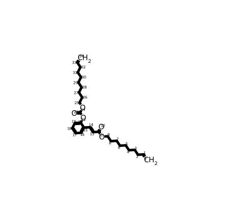 C=CCCCCCCCCOC(=O)C=Cc1ccccc1OC(=O)OCCCCCCCCC=C